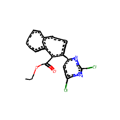 CCOC(=O)c1c(-c2cc(Cl)nc(Cl)n2)ccc2ccccc12